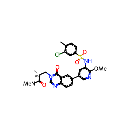 CNC(=O)[C@H](C)Cn1cnc2ccc(-c3cnc(OC)c(NS(=O)(=O)c4ccc(C)c(Cl)c4)c3)cc2c1=O